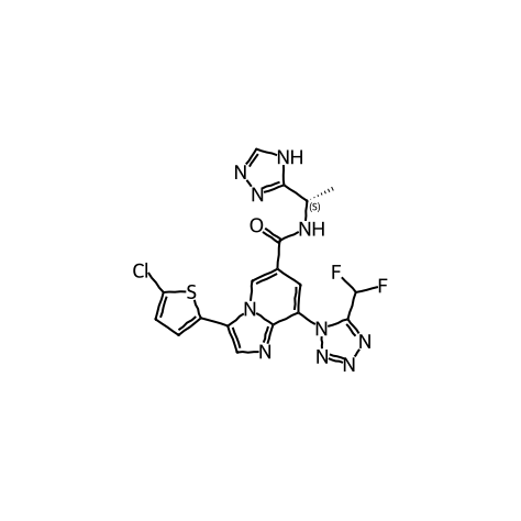 C[C@H](NC(=O)c1cc(-n2nnnc2C(F)F)c2ncc(-c3ccc(Cl)s3)n2c1)c1nnc[nH]1